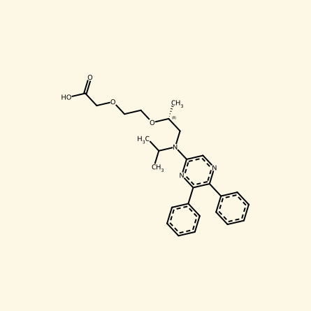 CC(C)N(C[C@@H](C)OCCOCC(=O)O)c1cnc(-c2ccccc2)c(-c2ccccc2)n1